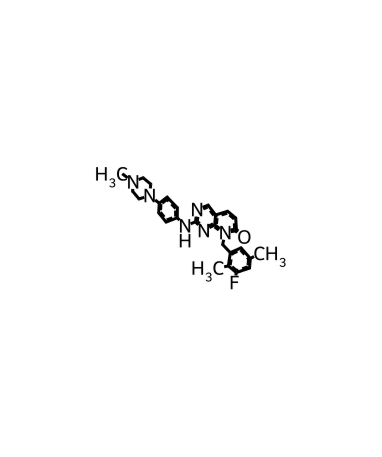 Cc1cc(F)c(C)c(Cn2c(=O)ccc3cnc(Nc4ccc(N5CCN(C)CC5)cc4)nc32)c1